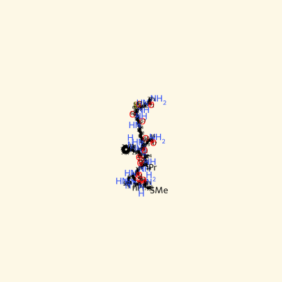 CCC[C@H](NC(=O)[C@H](Cc1cnc[nH]1)NC(=O)CNC(=O)[C@@H](NC(=O)[C@H](C)NC(=O)[C@H](Cc1c[nH]c2ccccc12)NC(=O)[C@H](CCC(N)=O)NC(=O)CCCCNC(=O)CNC(=O)[C@H](CS)NC(=O)CNC(=O)CN)C(C)C)C(=O)N[C@@H](CCSC)C(N)=O